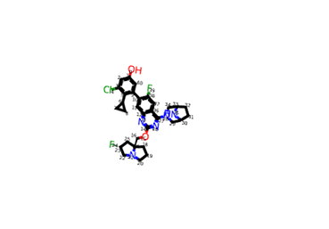 Oc1cc(Cl)c(C2CC2)c(-c2cc3nc(OC[C@@]45CCCN4C[C@H](F)C5)nc(N4CC5CCC(C4)N5)c3cc2F)c1